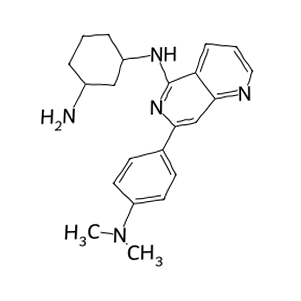 CN(C)c1ccc(-c2cc3ncccc3c(NC3CCCC(N)C3)n2)cc1